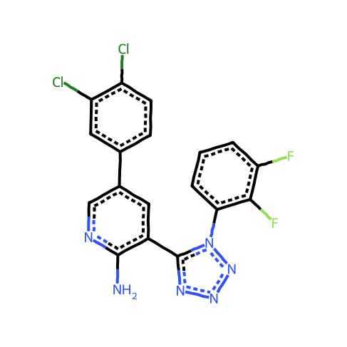 Nc1ncc(-c2ccc(Cl)c(Cl)c2)cc1-c1nnnn1-c1cccc(F)c1F